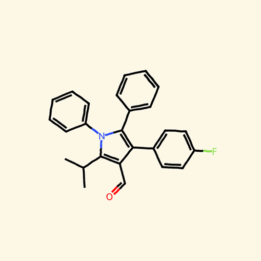 CC(C)c1c(C=O)c(-c2ccc(F)cc2)c(-c2ccccc2)n1-c1ccccc1